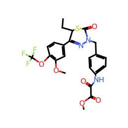 CCC1SC(=O)N(Cc2ccc(NC(=O)C(=O)OC)cc2)N=C1c1ccc(OC(F)(F)F)c(OC)c1